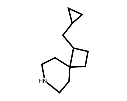 C1CC2(CCN1)CCC2CC1CC1